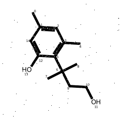 Cc1cc(C)c(C(C)(C)CCO)c(O)c1